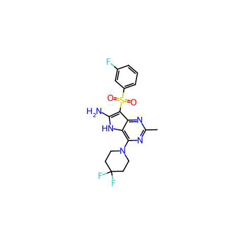 Cc1nc(N2CCC(F)(F)CC2)c2[nH]c(N)c(S(=O)(=O)c3cccc(F)c3)c2n1